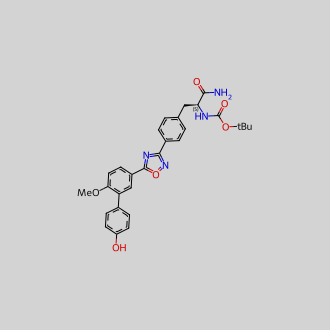 COc1ccc(-c2nc(-c3ccc(C[C@H](NC(=O)OC(C)(C)C)C(N)=O)cc3)no2)cc1-c1ccc(O)cc1